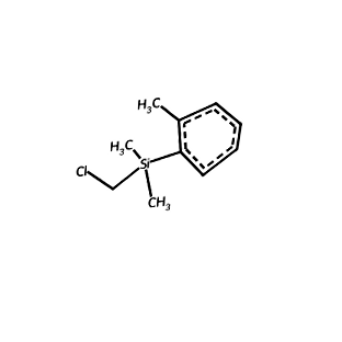 Cc1ccccc1[Si](C)(C)CCl